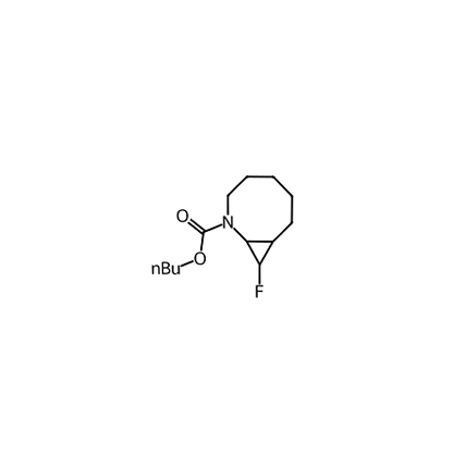 CCCCOC(=O)N1CCCCCC2C(F)C21